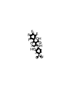 CCC(Nc1ccc([N+](=O)[O-])cc1O)=C(C(=O)O)C(=O)c1cc(F)c(F)c(F)c1F